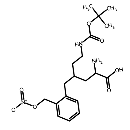 CC(C)(C)OC(=O)NCCC(Cc1ccccc1CO[N+](=O)[O-])CC(N)C(=O)O